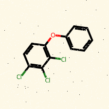 Clc1ccc(Oc2ccccc2)c(Cl)c1Cl